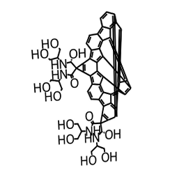 O=C(NC(CO)CO)C1([C@H](O)NC(CO)CO)c2c1c1c3ccc4c5c6c(c7c8ccc9c%10ccc%11c2c2c1c1c3c4c3c5c7c4c8c9c5c%10c%11c2c2c5c4c3c12)C6(C(=O)NC(CO)CO)[C@@H](O)NC(CO)CO